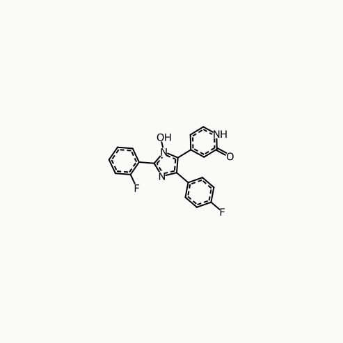 O=c1cc(-c2c(-c3ccc(F)cc3)nc(-c3ccccc3F)n2O)cc[nH]1